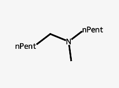 CCCCCCN(C)CCCCC